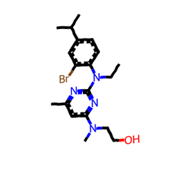 CCN(c1nc(C)cc(N(C)CCO)n1)c1ccc(C(C)C)cc1Br